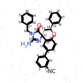 [C-]#[N+]c1cccc(-c2ccc3c(c2)[C@@]2(C[C@@H](c4ccccc4)O3)N=C(N)N(Cc3ccccc3)C2=O)c1